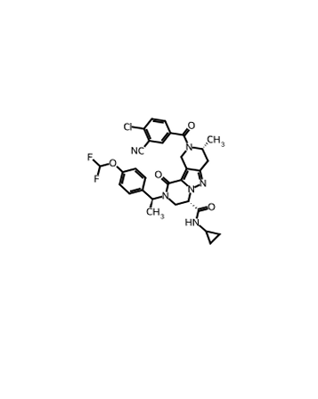 C[C@@H]1Cc2nn3c(c2CN1C(=O)c1ccc(Cl)c(C#N)c1)C(=O)N([C@@H](C)c1ccc(OC(F)F)cc1)C[C@H]3C(=O)NC1CC1